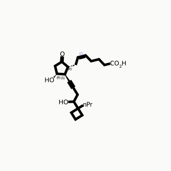 CCCC1(C(O)CC#C[C@H]2[C@H](O)CC(=O)[C@@H]2C/C=C\CCCC(=O)O)CCC1